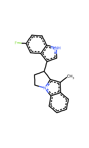 Cc1c2n(c3ccccc13)CCC2c1c[nH]c2ccc(F)cc12